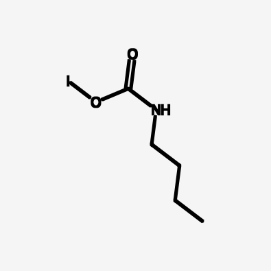 CCCCNC(=O)OI